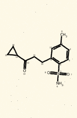 Cc1ccc(S(N)(=O)=O)c(CCC(=O)C2CC2)c1